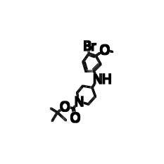 COc1cc(NC2CCN(C(=O)OC(C)(C)C)CC2)ccc1Br